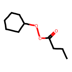 CCCC(=O)OOC1CCCCC1